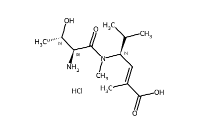 CC(=C[C@H](C(C)C)N(C)C(=O)[C@@H](N)[C@H](C)O)C(=O)O.Cl